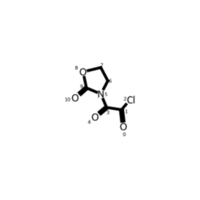 O=C(Cl)C(=O)N1CCOC1=O